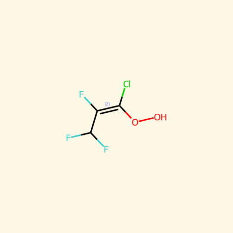 OO/C(Cl)=C(/F)C(F)F